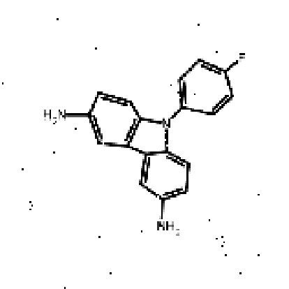 Nc1ccc2c(c1)c1cc(N)ccc1n2-c1ccc(F)cc1